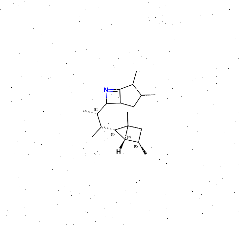 CC1CC2C(=NC2[C@@H](C)C(C)[C@H]2[C@H]3[C@H](C)CC32C)C1C